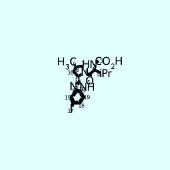 CC(C)C(NC(=O)O)C(=O)N1C[C@@H](C)C[C@H]1c1nc2cc(I)ccc2[nH]1